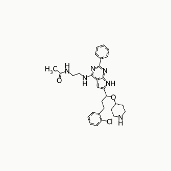 CC(=O)NCCNc1nc(-c2ccccc2)nc2[nH]c(C(CCc3ccccc3Cl)OC3CCNCC3)cc12